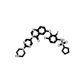 O=c1c2cc(Oc3c(F)ccc(NS(=O)(=O)C4CCCC4)c3F)ccc2ncn1-c1cnc(N2CCNCC2)nc1